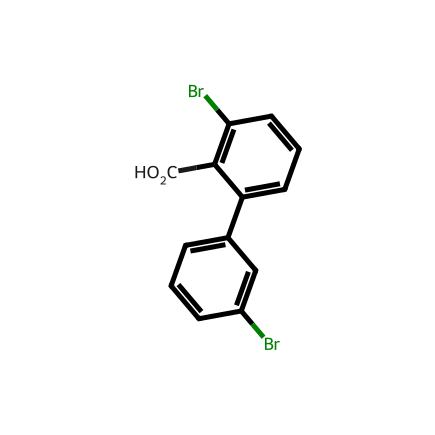 O=C(O)c1c(Br)cccc1-c1cccc(Br)c1